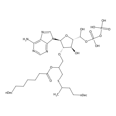 CCCCCCCCCCCCCCCC(=O)OC(CO[C@H]1[C@H](O)[C@@H](C(O)OP(=O)(O)OP(=O)(O)O)O[C@@H]1n1cnc2c(N)ncnc21)CSC(C)CCCCCCCCCCCC